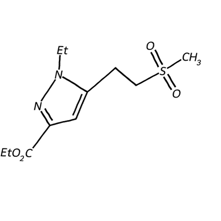 CCOC(=O)c1cc(CCS(C)(=O)=O)n(CC)n1